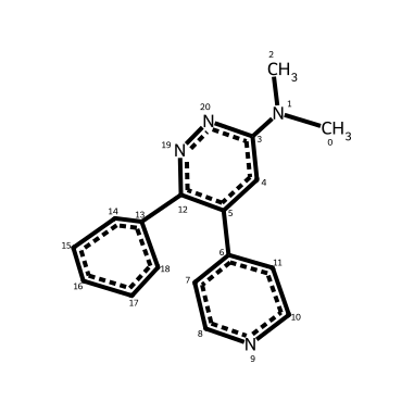 CN(C)c1cc(-c2ccncc2)c(-c2ccccc2)nn1